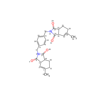 CC1=CC2C(=O)N(Cc3ccc(CN4C(=O)C5C=C(C)CCC5C4=O)cc3)C(=O)C2CC1